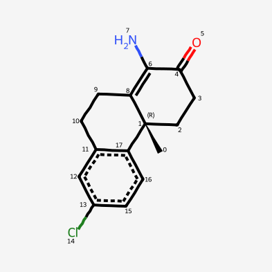 C[C@]12CCC(=O)C(N)=C1CCc1cc(Cl)ccc12